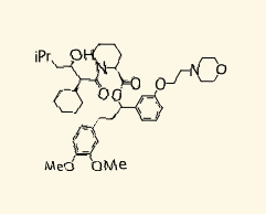 COc1ccc(CC[C@@H](OC(=O)[C@@H]2CCCCN2C(=O)[C@@H](C2CCCCC2)[C@H](O)CC(C)C)c2cccc(OCCN3CCOCC3)c2)cc1OC